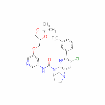 CC1(C)OC[C@H](COc2cncc(NC(=O)N3c4nc(-c5cccc(C(F)(F)F)c5)c(Cl)cc4N4CCC3C4)c2)O1